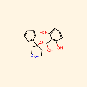 Oc1cccc(O)c1C(O)OC1(c2ccccc2)CCNCC1